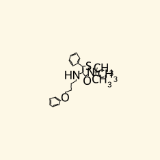 CC(C)(C)n1sc(-c2ccccc2)c(NCCCCOc2ccccc2)c1=O